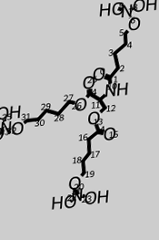 O=C(CCCCON(O)O)NC(COC(=O)CCCCON(O)O)C(=O)OCCCCCON(O)O